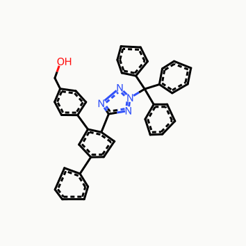 OCc1ccc(-c2cc(-c3ccccc3)ccc2-c2nnn(C(c3ccccc3)(c3ccccc3)c3ccccc3)n2)cc1